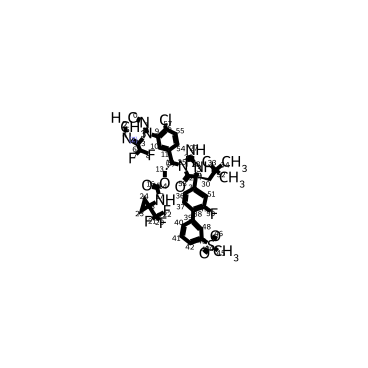 C=NN(/C(=N\C)C(F)F)c1cc([C@@H](COC(=O)NC2(C(F)(F)F)CC2)N2C(=N)N[C@](CC(C)(C)C)(c3ccc(-c4cccc(S(C)(=O)=O)c4)c(F)c3)C2=O)ccc1Cl